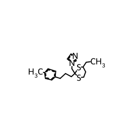 CCC1CCSC(CCCc2ccc(C)cc2)(Cn2ccnc2)S1